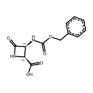 O=C(N[C@@H]1C(=O)N[C@@H]1C(=O)O)OCc1ccccc1